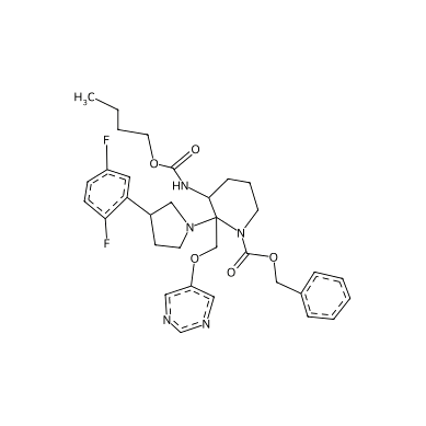 CCCCOC(=O)NC1CCCN(C(=O)OCc2ccccc2)C1(COc1cncnc1)N1CCC(c2cc(F)ccc2F)C1